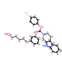 O=C(Oc1ccc(F)cc1)N1CCc2c([nH]c3ccc(Cl)cc23)[C@@H]1c1ccc(OCCCCO)cc1